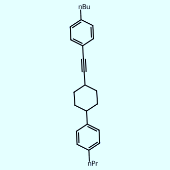 CCCCc1ccc(C#CC2CCC(c3ccc(CCC)cc3)CC2)cc1